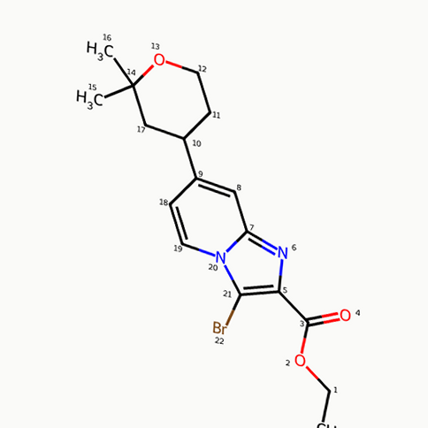 CCOC(=O)c1nc2cc(C3CCOC(C)(C)C3)ccn2c1Br